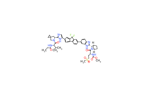 CCC(=O)N[C@@H](C(=O)N1CC2(CC2)C[C@H]1c1ncc(-c2ccc3c(c2)C(F)(F)c2cc(-c4ccc5nc([C@@H]6[C@H]7CC[C@H](C7)N6C(=O)[C@H](CCS(C)(=O)=O)NC(=O)OC)[nH]c5c4)ccc2-3)[nH]1)C(C)C